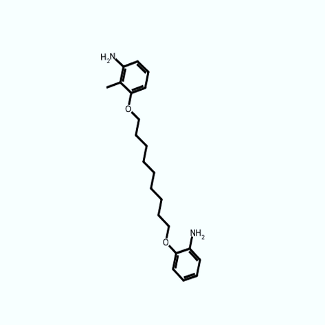 Cc1c(N)cccc1OCCCCCCCCCOc1ccccc1N